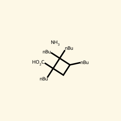 CCCCC1CC(CCCC)(C(=O)O)C1(CCCC)CCCC.N